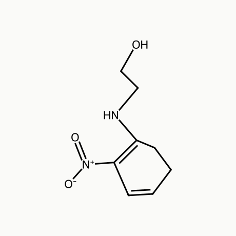 O=[N+]([O-])C1=C(NCCO)CCC=C1